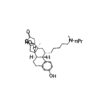 CCCN(C)CCCCC[C@H]1C[C@@]2(C)[C@@H](CC3OC(=O)C[C@@]32O)[C@@H]2CCc3cc(O)ccc3[C@@H]12